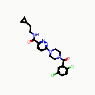 O=C(NCCC1CC1)c1ccc(N2CCN(C(=O)c3cc(Cl)ccc3Cl)CC2)nn1